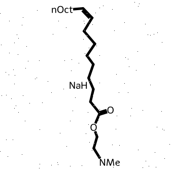 CCCCCCCC/C=C\CCCCCCCC(=O)OCCNC.[NaH]